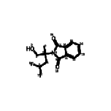 CC(CO)(CC(F)F)N1C(=O)c2ccccc2C1=O